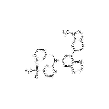 Cn1ccc2ccc(-c3cc(N(Cc4cccnc4)c4cc(S(C)(=O)=O)ccn4)cc4nccnc34)cc21